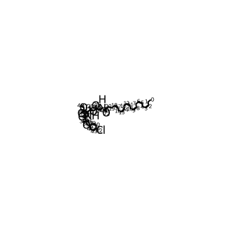 CC/C=C\C/C=C\C/C=C\C/C=C\C/C=C\C/C=C\CCC(=O)NCC(=O)OC(C)C(NC(=O)C(C)(C)Oc1ccc(Cl)cc1)C(=O)OC